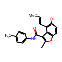 CO/C=C/c1c(O)ccc2oc(C)c(C(=O)Nc3ccc(C(F)(F)F)cc3)c12